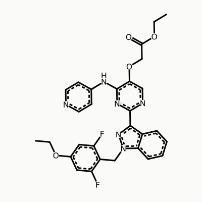 CCOC(=O)COc1cnc(-c2nn(Cc3c(F)cc(OCC)cc3F)c3ccccc23)nc1Nc1ccncc1